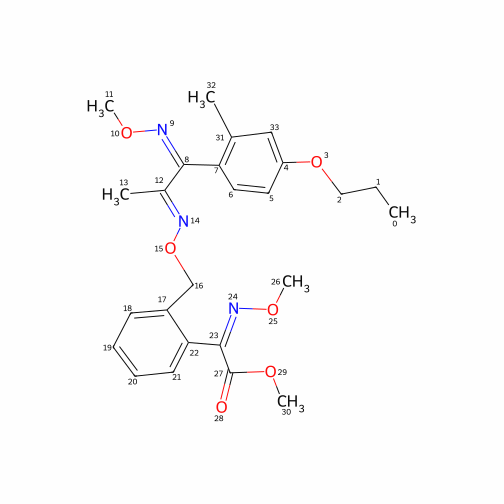 CCCOc1ccc(C(=NOC)C(C)=NOCc2ccccc2C(=NOC)C(=O)OC)c(C)c1